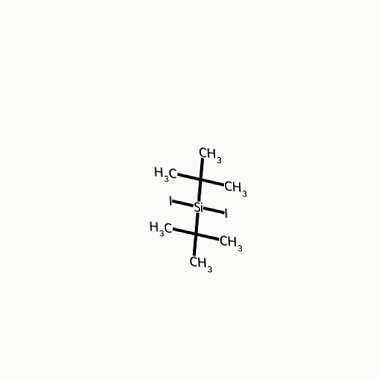 CC(C)(C)[Si](I)(I)C(C)(C)C